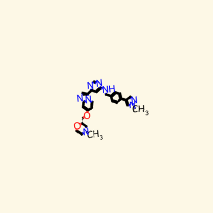 CN1CCO[C@H](COc2ccn3c(-c4cc(NCc5ccc(-c6cnn(C)c6)cc5)ncn4)cnc3c2)C1